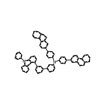 c1ccc(-n2c3ccccc3c3c(-c4cccc(-c5cccc(N(c6ccc(-c7ccc8c(ccc9ccccc98)c7)cc6)c6ccc(-c7ccc8c(ccc9ccccc98)c7)cc6)c5)c4)cccc32)cc1